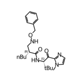 CCCC[C@H](CNOCc1ccccc1)C(=O)N[C@H](C(=O)c1nccn1C)C(C)(C)C